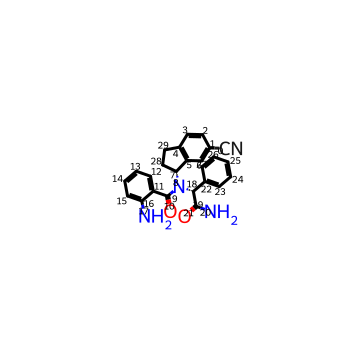 N#Cc1ccc2c(c1)[C@H](N(C(=O)c1ccccc1N)[C@@H](C(N)=O)c1ccccc1)CC2